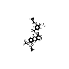 O=C(OC[C@@H](c1ccc(OC(F)F)c(OCC2CC2)c1)c1c(Cl)cncc1Cl)c1ccc([N+](=O)[O-])c(OCC2CC2)c1